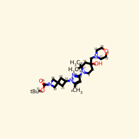 Cc1cc(N2CCC(O)(CN3CCOCC3)CC2(C)C)nn1C1CC2(C1)CN(C(=O)OC(C)(C)C)C2